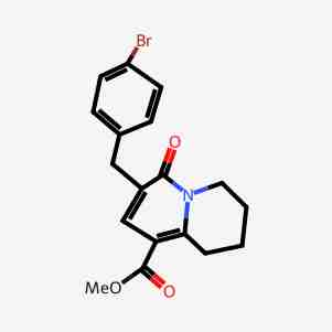 COC(=O)c1cc(Cc2ccc(Br)cc2)c(=O)n2c1CCCC2